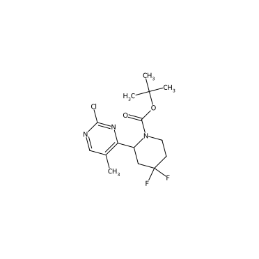 Cc1cnc(Cl)nc1C1CC(F)(F)CCN1C(=O)OC(C)(C)C